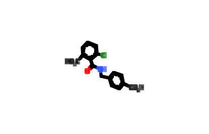 O=C(O)c1ccc(CNC(=O)c2c(Cl)cccc2C(=O)O)cc1